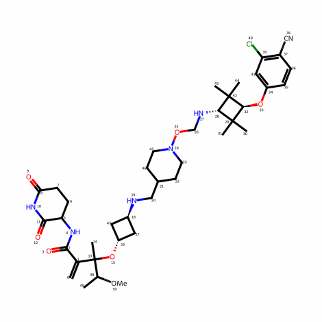 C=C(C(=O)NC1CCC(=O)NC1=O)C(C)(O[C@H]1C[C@H](NCC2CCN(OCN[C@H]3C(C)(C)[C@H](Oc4ccc(C#N)c(Cl)c4)C3(C)C)CC2)C1)C(C)OC